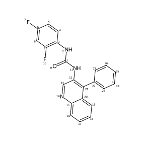 O=C(Nc1ccc(F)cc1F)Nc1cnc2ccccc2c1-c1ccccc1